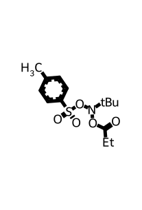 CCC(=O)ON(OS(=O)(=O)c1ccc(C)cc1)C(C)(C)C